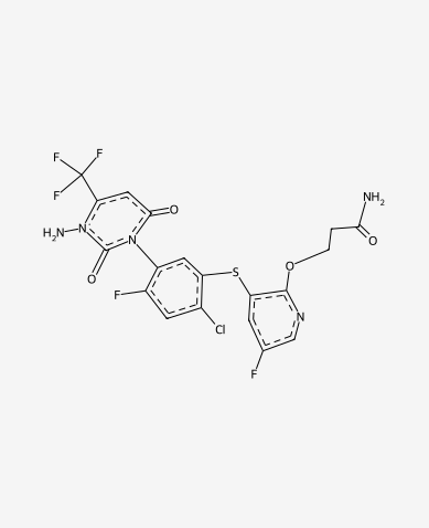 NC(=O)CCOc1ncc(F)cc1Sc1cc(-n2c(=O)cc(C(F)(F)F)n(N)c2=O)c(F)cc1Cl